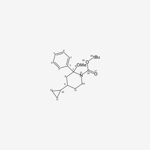 COC1(c2ccccc2)CC(C2CC2)CCN1C(=O)OC(C)(C)C